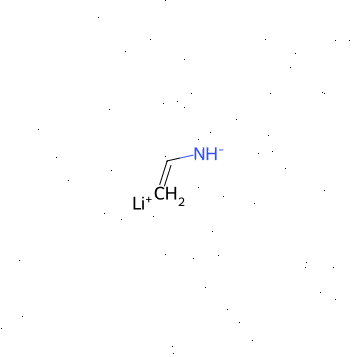 C=C[NH-].[Li+]